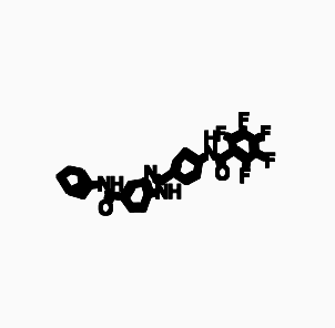 O=C(NC1CC2CCC1C2)c1ccc2[nH]c(-c3ccc(NC(=O)c4c(F)c(F)c(F)c(F)c4F)cc3)nc2c1